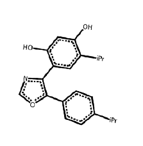 CC(C)c1ccc(-c2ocnc2-c2cc(C(C)C)c(O)cc2O)cc1